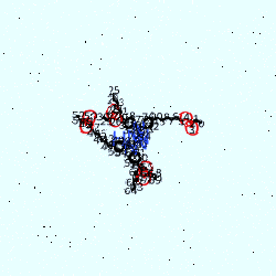 C=CC(=O)OCCCCCCc1ccc(N(c2ccc(C(CCCCC)OC(=O)C=C)cc2)c2nnc(N(c3ccc(CCCCCCOC(=O)C=C)cc3)c3ccc(C(CCCCC)OC(=O)C=C)cc3)[nH]2)cc1